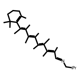 CC1=C(/C(C)=C(C)/C(C)=C(C)/C(C)=C(C)/C(C)=C(C)/C=N/CC(C)C)C(C)(C)CCC1